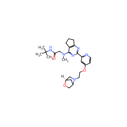 CN(CC(=O)NC(C)(C)C)c1nc(-c2cc(OCCN3C[C@H]4CC3CO4)ccn2)nc2c1CCC2